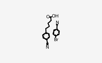 N#Cc1ccc(Br)cc1.N#Cc1ccc(CCCCC(=O)O)cc1